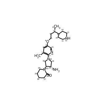 Cc1cc(OCC[C@@H](C)C2CCNCC2)cnc1N1C[C@H](N)[C@@H](N2CCCCC2=O)C1